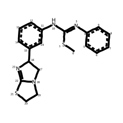 CSC(=Nc1ccccc1)Nc1cccc(C2CN3CCSC3=N2)c1